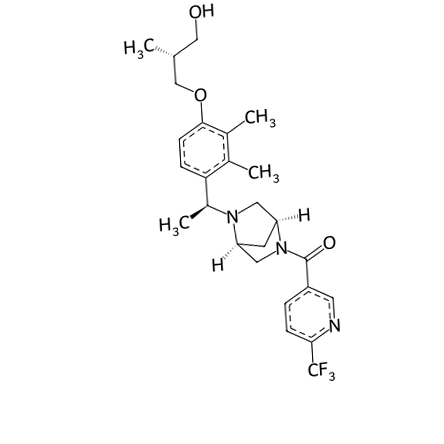 Cc1c(OC[C@H](C)CO)ccc([C@H](C)N2C[C@@H]3C[C@H]2CN3C(=O)c2ccc(C(F)(F)F)nc2)c1C